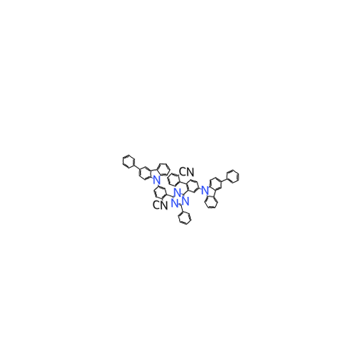 N#Cc1ccc(-n2c3ccccc3c3cc(-c4ccccc4)ccc32)cc1-c1nc(-c2ccccc2)nc(-c2cc(-n3c4ccccc4c4cc(-c5ccccc5)ccc43)ccc2-c2ccccc2C#N)n1